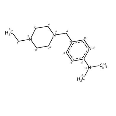 CCN1CCN(Cc2ccc(N(C)C)nc2)CC1